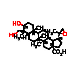 CC1([C@@H]2CC[C@]3(C(=O)O)CC[C@]4(C)C(CCC5[C@@]6(C)CC[C@H](O)[C@@](C)(CO)[C@@H]6CC[C@]54C)C23)CO1